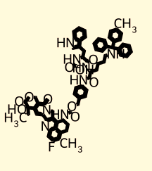 CC[C@@]1(O)C(=O)OCc2c1cc1n(c2=O)Cc2c-1nc1cc(F)c(C)c3c1c2[C@@H](NC(=O)OCc1ccc(NC(=O)C(CCCCNC(c2ccccc2)(c2ccccc2)c2ccc(C)cc2)NC(=O)C(Cc2c[nH]c4ccccc24)NC(=O)O)cc1)CC3